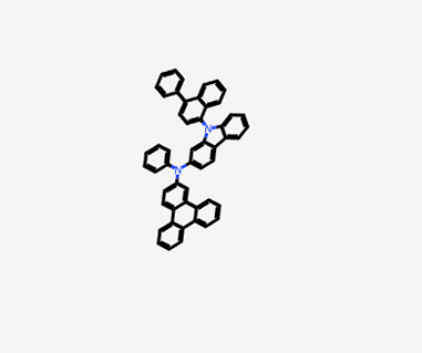 c1ccc(-c2ccc(-n3c4ccccc4c4ccc(N(c5ccccc5)c5ccc6c7ccccc7c7ccccc7c6c5)cc43)c3ccccc23)cc1